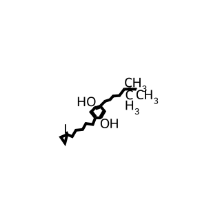 CCC(C)(C)CCCCCc1cc(O)c(CCCCCC2(I)CC2)cc1O